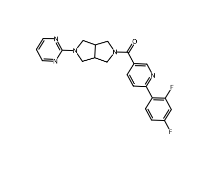 O=C(c1ccc(-c2ccc(F)cc2F)nc1)N1CC2CN(c3ncccn3)CC2C1